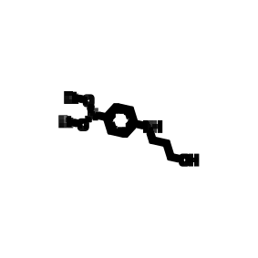 CCON(OCC)c1ccc(NCCCO)cc1